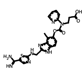 Cc1c(OC(=O)N(CCC(=O)O)c2ccccn2)ccc2[nH]c(CNc3ncc(C(=N)N)s3)nc12